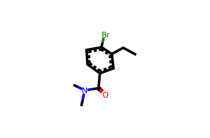 CCc1cc(C(=O)N(C)C)ccc1Br